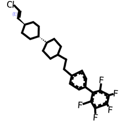 Fc1c(F)c(F)c(-c2ccc(CCC3CCC([C@H]4CC[C@H](/C=C/Cl)CC4)CC3)cc2)c(F)c1F